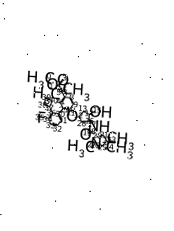 COC(=O)C(C)(C)c1ccc(O[C@@H]2C[C@@H](O)[C@@H](NC(=O)[C@@H]3CC(C)(C)CN3C)C2)c(-c2cccc(F)c2C2CCC2)c1